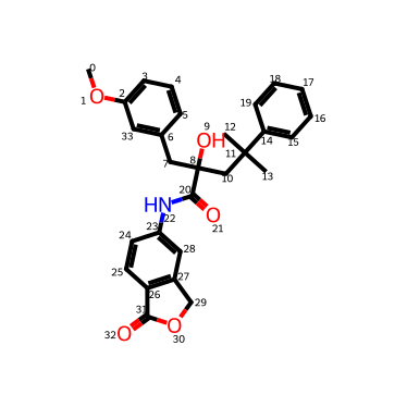 COc1cccc(CC(O)(CC(C)(C)c2ccccc2)C(=O)Nc2ccc3c(c2)COC3=O)c1